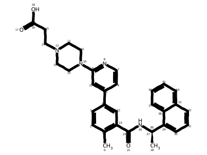 Cc1ccc(-c2ccnc(N3CCN(CCC(=O)O)CC3)c2)cc1C(=O)N[C@H](C)c1cccc2ccccc12